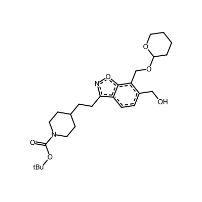 CC(C)(C)OC(=O)N1CCC(CCc2noc3c(COC4CCCCO4)c(CO)ccc23)CC1